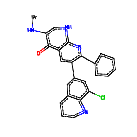 CC(C)Nc1c[nH]c2nc(-c3ccccc3)c(-c3cc(Cl)c4ncccc4c3)cc2c1=O